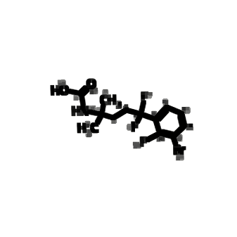 CC(C)(CCC(F)(F)c1cccc(Br)c1F)NC(=O)O